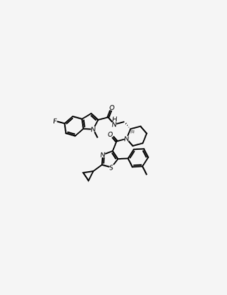 Cc1cccc(-c2sc(C3CC3)nc2C(=O)N2CCCC[C@H]2CNC(=O)c2cc3cc(F)ccc3n2C)c1